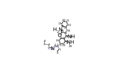 C=C/C(=C\N=C/CCC)c1ccc(C(=N)C(Cc2ccccc2)C(N)=O)c(NC)c1